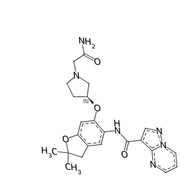 CC1(C)Cc2cc(NC(=O)c3cnn4cccnc34)c(O[C@H]3CCN(CC(N)=O)C3)cc2O1